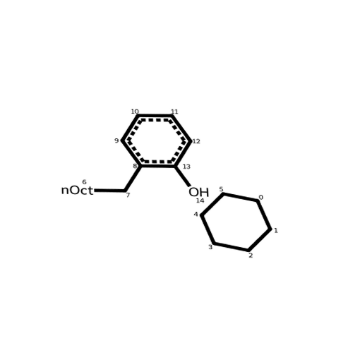 C1CCCCC1.CCCCCCCCCc1ccccc1O